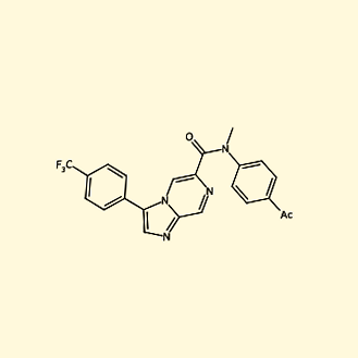 CC(=O)c1ccc(N(C)C(=O)c2cn3c(-c4ccc(C(F)(F)F)cc4)cnc3cn2)cc1